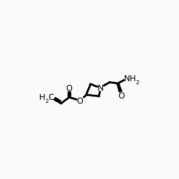 C=CC(=O)OC1CN(CC(N)=O)C1